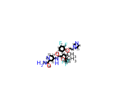 C[C@H]1[C@@H](c2ccc(F)c(F)c2OCCn2ccnc2)[C@H](C(=O)Nc2ccnc(C(N)=O)c2)O[C@@]1(C)C(F)(F)F